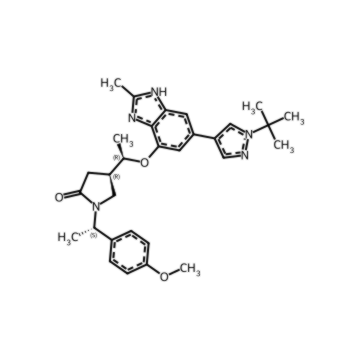 COc1ccc([C@H](C)N2C[C@H]([C@@H](C)Oc3cc(-c4cnn(C(C)(C)C)c4)cc4[nH]c(C)nc34)CC2=O)cc1